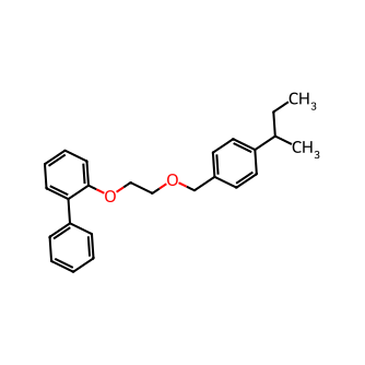 CCC(C)c1ccc(COCCOc2ccccc2-c2ccccc2)cc1